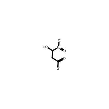 O=C([O-])C[CH](O)[Eu](=[O])[O-]